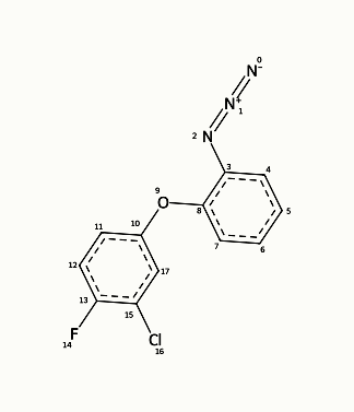 [N-]=[N+]=Nc1ccccc1Oc1ccc(F)c(Cl)c1